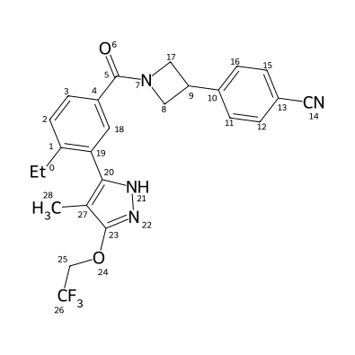 CCc1ccc(C(=O)N2CC(c3ccc(C#N)cc3)C2)cc1-c1[nH]nc(OCC(F)(F)F)c1C